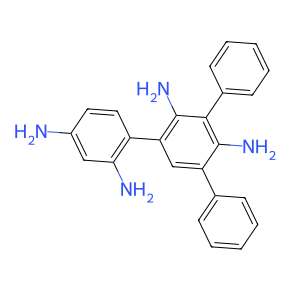 Nc1ccc(-c2cc(-c3ccccc3)c(N)c(-c3ccccc3)c2N)c(N)c1